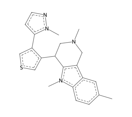 Cc1ccc2c(c1)c1c(n2C)C(c2cscc2-c2ccnn2C)CN(C)C1